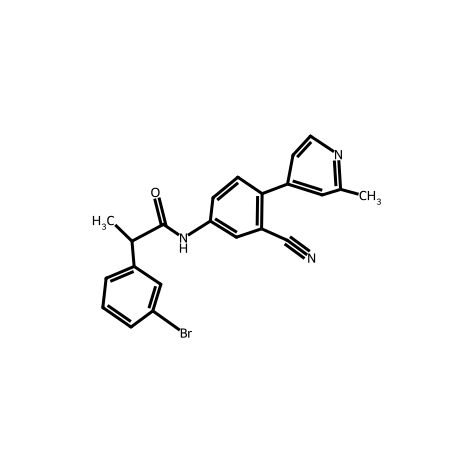 Cc1cc(-c2ccc(NC(=O)C(C)c3cccc(Br)c3)cc2C#N)ccn1